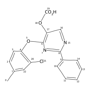 Cc1ccc(Oc2nc(-c3ccccc3)ncc2OC(=O)O)c(Cl)c1